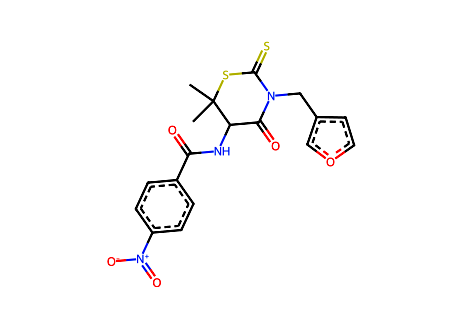 CC1(C)SC(=S)N(Cc2ccoc2)C(=O)C1NC(=O)c1ccc([N+](=O)[O-])cc1